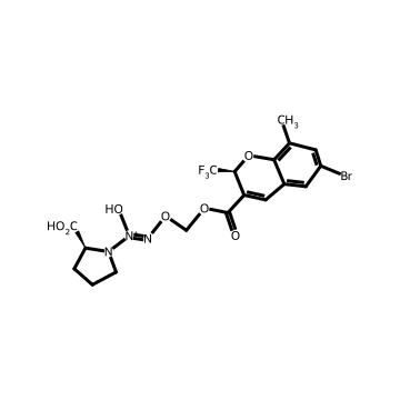 Cc1cc(Br)cc2c1O[C@H](C(F)(F)F)C(C(=O)OCO/N=[N+](\O)N1CCC[C@H]1C(=O)O)=C2